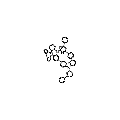 c1ccc(-c2cccc(-n3c4ccccc4c4cc(-c5ccc6c(c5)N(c5nc(-c7ccccc7)cc(-c7ccccc7)n5)c5ccccc5[Si]65c6ccccc6-c6ccccc65)ccc43)c2)cc1